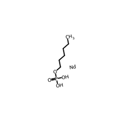 CCCCCCOP(=O)(O)O.[Nd]